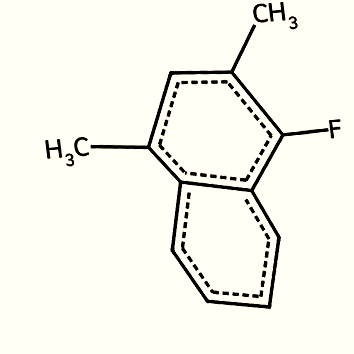 Cc1cc(C)c2ccccc2c1F